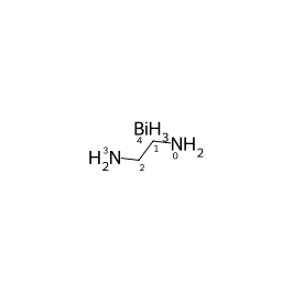 NCCN.[BiH3]